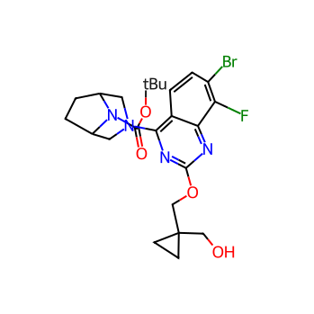 CC(C)(C)OC(=O)N1C2CCC1CN(c1nc(OCC3(CO)CC3)nc3c(F)c(Br)ccc13)C2